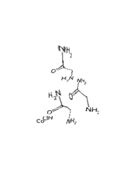 Cl.NCC(N)=O.NCC(N)=O.NCC(N)=O.[Co]